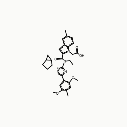 C1CC2CC2C1.CCN(C(=O)c1cc2cc(C)ccc2n1CC(=O)O)c1nc(-c2cc(OC)c(C)cc2OC)cs1